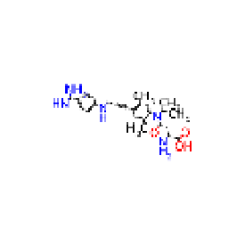 Cc1cc(N(C(=O)CC(N)C(=O)O)C(C)C)c(C)cc1C#CCNc1ccc(C(=N)N)cc1